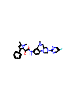 Cc1cc(-c2ccccc2)c(C(=O)C(=O)Nc2ccc3c(c2)CN(C)CC2CN(c4ncc(F)cn4)CCN32)n1C